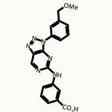 COCc1cccc(-n2nnc3cnc(Nc4cccc(C(=O)O)c4)nc32)c1